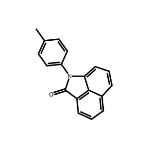 Cc1ccc(N2C(=O)c3cccc4cccc2c34)cc1